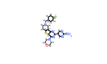 Nc1ncc(-c2nc(N3CCOCC3)c3sc4c(c3n2)CN(Cc2ccc(F)cc2)CC4)cn1